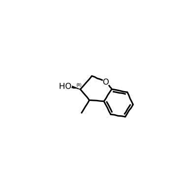 CC1c2ccccc2OC[C@@H]1O